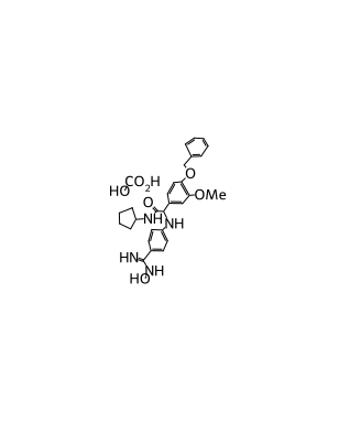 COc1cc(C(Nc2ccc(C(=N)NO)cc2)C(=O)NC2CCCC2)ccc1OCc1ccccc1.O=C(O)O